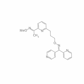 CO/N=C(\C)c1cccc(CCCO/N=C(\c2ccncc2)c2ccccn2)n1